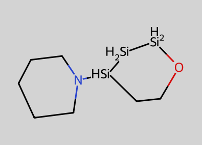 C1CCN([SiH]2CCO[SiH2][SiH2]2)CC1